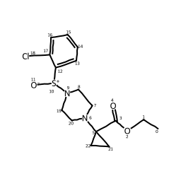 CCOC(=O)C1(N2CCN([S+]([O-])c3ccccc3Cl)CC2)CC1